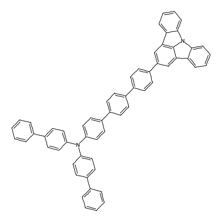 c1ccc(-c2ccc(N(c3ccc(-c4ccccc4)cc3)c3ccc(-c4ccc(-c5ccc(-c6cc7c8ccccc8n8c9ccccc9c(c6)c78)cc5)cc4)cc3)cc2)cc1